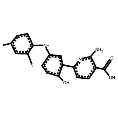 Cc1ccc(Nc2ccc(O)c(-c3ccc(C(=O)O)c(N)n3)c2)c(F)c1